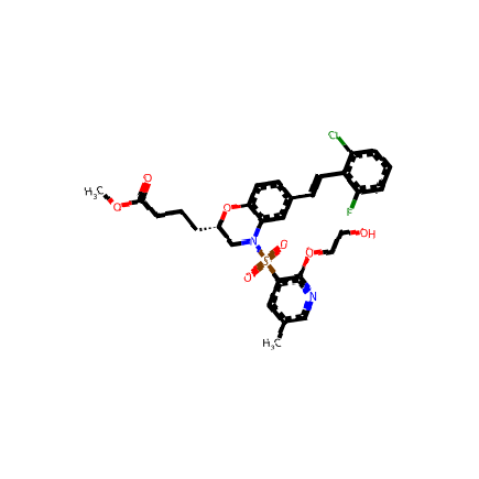 COC(=O)CCC[C@H]1CN(S(=O)(=O)c2cc(C)cnc2OCCO)c2cc(/C=C/c3c(F)cccc3Cl)ccc2O1